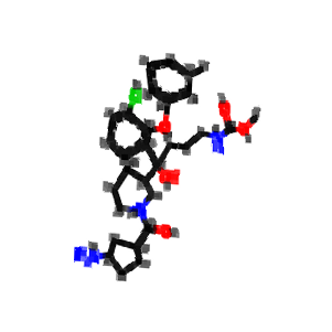 COC(=O)NCCCC(O)(c1cccc(Cl)c1Oc1cccc(C)c1)C1CCCN(C(=O)C2CCC(N)C2)C1